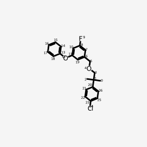 CC(C)(COCc1cc(F)cc(Oc2ccccc2)c1)c1ccc(Cl)cc1